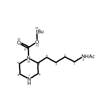 CC(=O)NCCCCC1CNCCN1C(=O)OC(C)(C)C